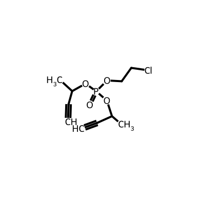 C#CC(C)OP(=O)(OCCCl)OC(C)C#C